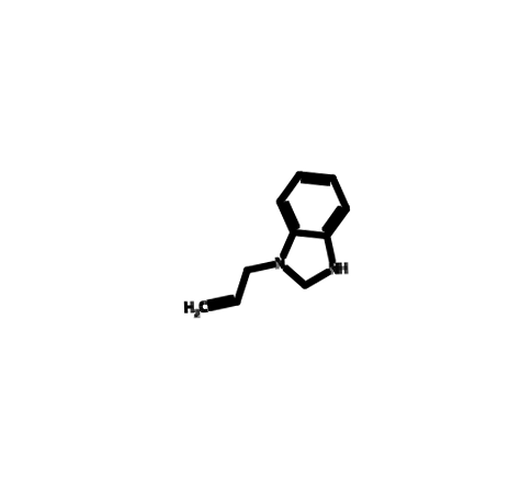 C=CCN1CNc2ccccc21